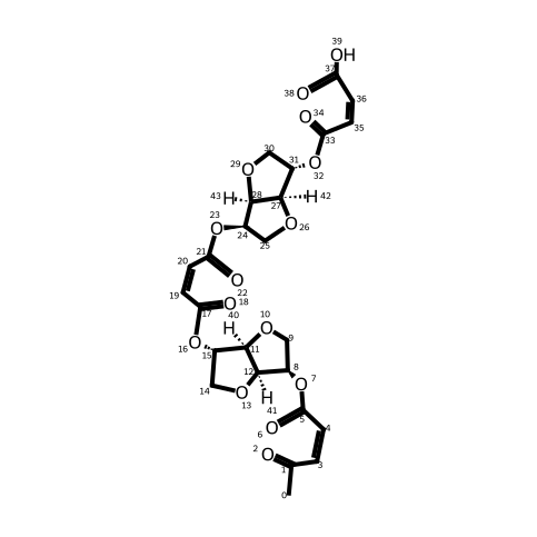 CC(=O)/C=C\C(=O)O[C@@H]1CO[C@H]2[C@@H]1OC[C@@H]2OC(=O)/C=C\C(=O)O[C@@H]1CO[C@H]2[C@@H]1OC[C@@H]2OC(=O)/C=C\C(=O)O